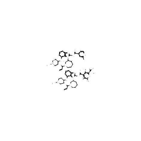 C=CC(=O)N1CCCCC(n2c(NC(=O)c3ccnc(C)c3)nc3cccc(OC4CCN(C(C)C)CC4)c32)C1.[2H]c1nc(C([2H])([2H])[2H])c([2H])c(C(=O)Nc2nc3cccc(OC4CCN(C(C)C)CC4)c3n2[C@@H]2CCCCN(C(=O)C=C)C2)c1[2H]